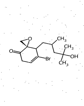 CC(CC1C(Br)=CCC(=O)[C@@]12CO2)CC(C)(C)O